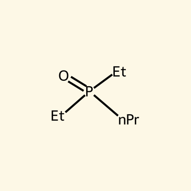 [CH2]CP(=O)(CC)CCC